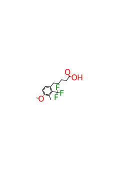 COc1ccc(CCCCC(=O)O)c(C(F)(F)F)c1C